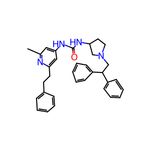 Cc1cc(NC(=O)NC2CCN(CC(c3ccccc3)c3ccccc3)C2)cc(CCc2ccccc2)n1